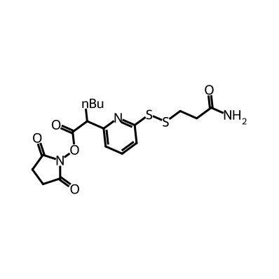 CCCCC(C(=O)ON1C(=O)CCC1=O)c1cccc(SSCCC(N)=O)n1